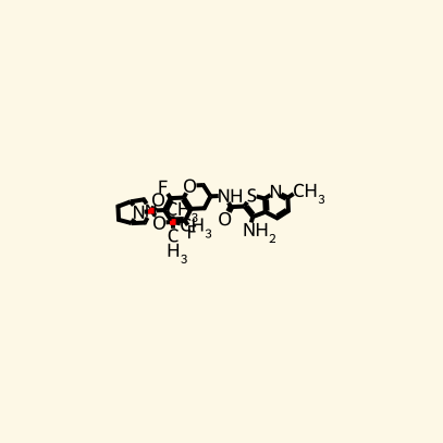 Cc1ccc2c(N)c(C(=O)NC3COc4c(F)c(N5CC6CCC(C5)N6C(=O)OC(C)(C)C)cc(F)c4C3)sc2n1